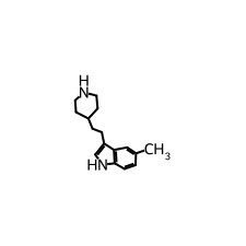 Cc1ccc2[nH]cc(CCC3CCNCC3)c2c1